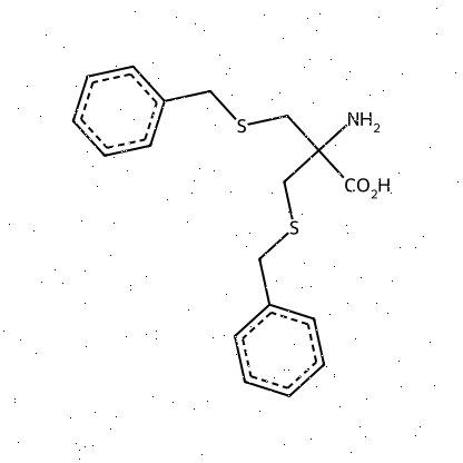 NC(CSCc1ccccc1)(CSCc1ccccc1)C(=O)O